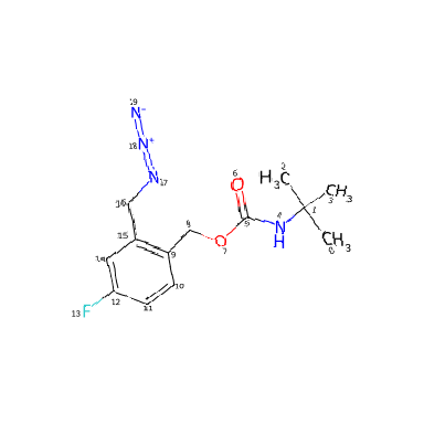 CC(C)(C)NC(=O)OCc1ccc(F)cc1CN=[N+]=[N-]